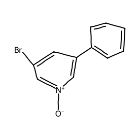 [O-][n+]1cc(Br)cc(-c2ccccc2)c1